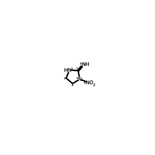 N=C1NCCN1[N+](=O)[O-]